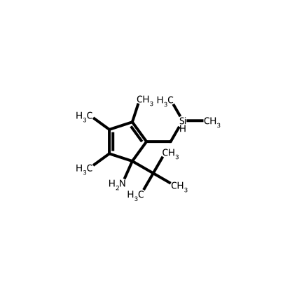 CC1=C(C)C(N)(C(C)(C)C)C(C[SiH](C)C)=C1C